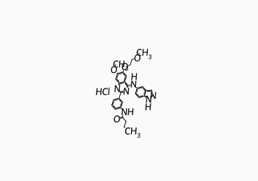 CCCC(=O)Nc1cccc(-c2nc(Nc3ccc4[nH]ncc4c3)c3cc(OCCOC)c(OC)cc3n2)c1.Cl